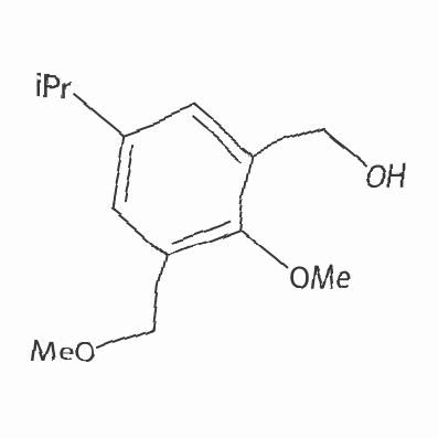 COCc1cc(C(C)C)cc(CO)c1OC